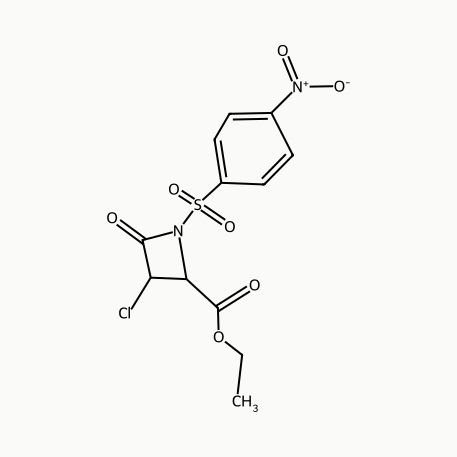 CCOC(=O)C1C(Cl)C(=O)N1S(=O)(=O)c1ccc([N+](=O)[O-])cc1